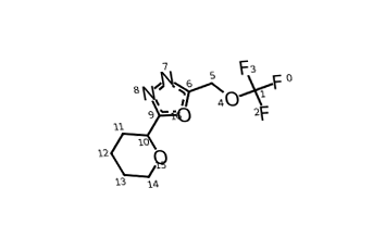 FC(F)(F)OCc1nnc(C2CCCCO2)o1